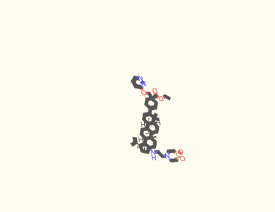 C=C(C)[C@@H]1CC[C@]2(NCCN3CCS(=O)(=O)CC3)CC[C@]3(C)[C@H](CC[C@@H]4[C@@]5(C)CC=C(C6=CCC(COc7cccnn7)(C(=O)OCC)CC6)C(C)(C)[C@@H]5CC[C@]43C)[C@@H]12